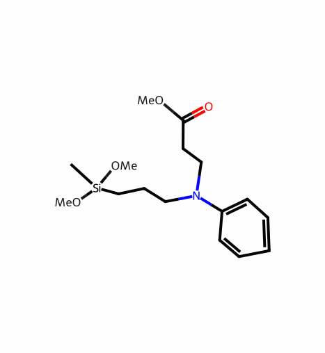 COC(=O)CCN(CCC[Si](C)(OC)OC)c1ccccc1